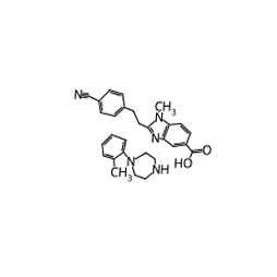 Cc1ccccc1N1CCNCC1.Cn1c(CCc2ccc(C#N)cc2)nc2cc(C(=O)O)ccc21